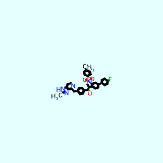 Cc1ccc(S(=O)(=O)n2cc(C(=O)c3ccc(Cc4nccc5[nH]c(C)nc45)cc3)c3ccc(-c4ccc(F)cc4)cc32)cc1